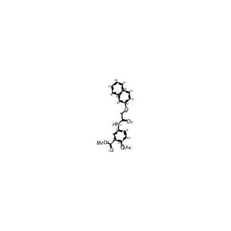 COC(=O)c1cc(NC(=O)COc2ccc3ccccc3c2)ccc1OC(C)=O